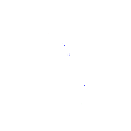 CC(C)N1NC(c2ccc(Cl)nc2)C=CC1=O